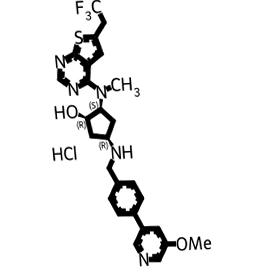 COc1cncc(-c2ccc(CN[C@H]3C[C@@H](O)[C@@H](N(C)c4ncnc5sc(CC(F)(F)F)cc45)C3)cc2)c1.Cl